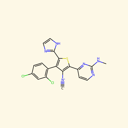 [C-]#[N+]c1c(-c2ccnc(NC)n2)sc(-c2ncc[nH]2)c1-c1ccc(Cl)cc1Cl